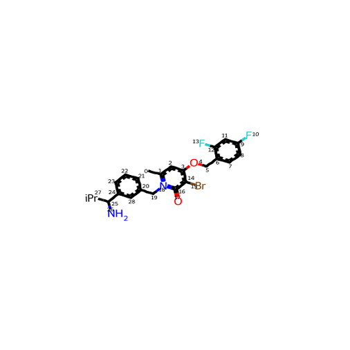 Cc1cc(OCc2ccc(F)cc2F)c(Br)c(=O)n1Cc1cccc(C(N)C(C)C)c1